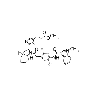 COC(=O)CCc1cnc([C@@H]2C[C@@H]3CCCC[C@@H]3N2C(=O)Cc2cc(Cl)c(NC(=O)c3cn(C)c4ccccc34)cc2F)s1